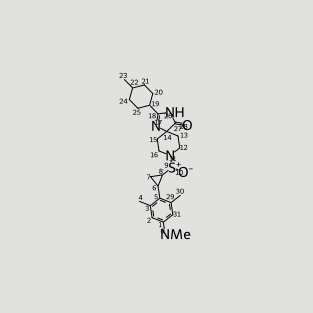 CNc1cc(C)c(C2CC2[S+]([O-])N2CCC3(CC2)N=C(C2CCC(C)CC2)NC3=O)c(C)c1